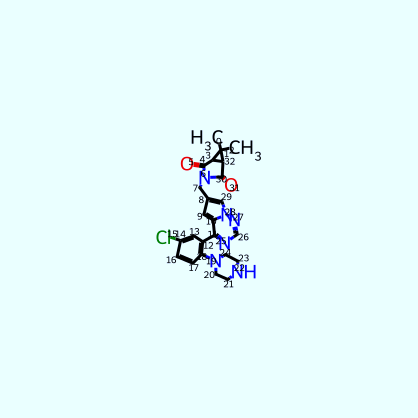 CC1(C)C2C(=O)N(Cc3cc4c(-c5cc(Cl)ccc5N5CCNCC5)ncnn4c3)C(=O)C21